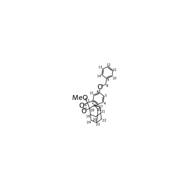 COC1(c2cccc(OCc3ccccc3)c2)OOC12C1CC3CC(C1)CC2C3